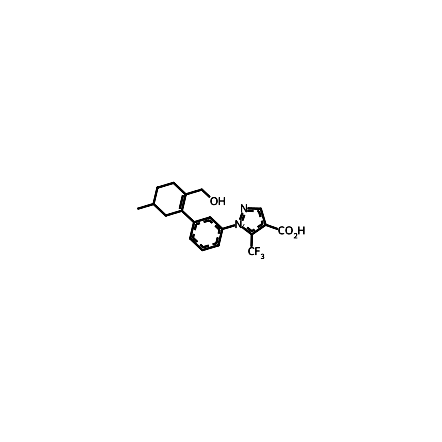 CC1CCC(CO)=C(c2cccc(-n3ncc(C(=O)O)c3C(F)(F)F)c2)C1